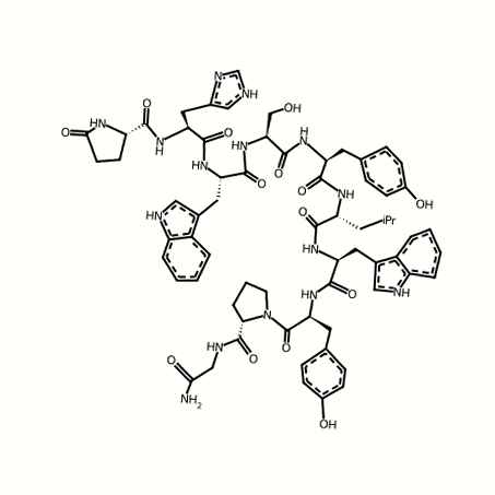 CC(C)C[C@@H](NC(=O)[C@H](Cc1ccc(O)cc1)NC(=O)[C@H](CO)NC(=O)[C@H](Cc1c[nH]c2ccccc12)NC(=O)[C@H](Cc1c[nH]cn1)NC(=O)[C@@H]1CCC(=O)N1)C(=O)N[C@@H](Cc1c[nH]c2ccccc12)C(=O)N[C@@H](Cc1ccc(O)cc1)C(=O)N1CCC[C@H]1C(=O)NCC(N)=O